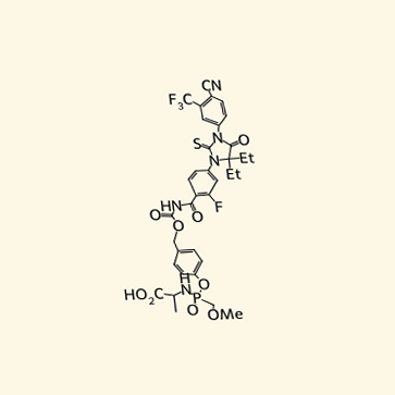 CCC1(CC)C(=O)N(c2ccc(C#N)c(C(F)(F)F)c2)C(=S)N1c1ccc(C(=O)NC(=O)OCc2ccc(OP(=O)(COC)NC(C)C(=O)O)cc2)c(F)c1